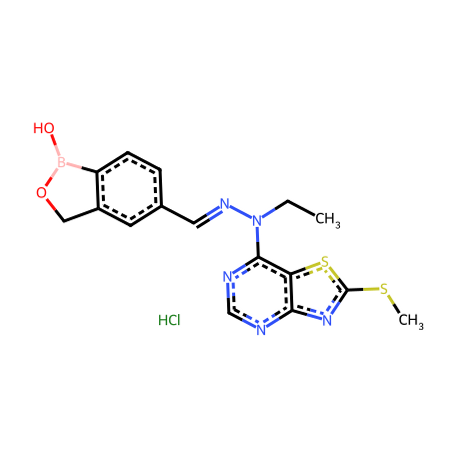 CCN(/N=C/c1ccc2c(c1)COB2O)c1ncnc2nc(SC)sc12.Cl